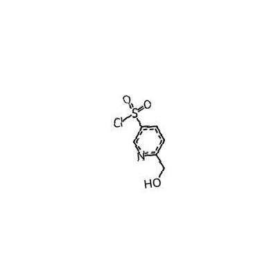 O=S(=O)(Cl)c1ccc(CO)nc1